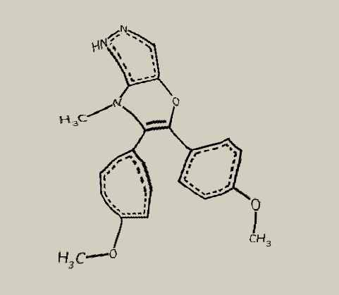 COc1ccc(C2=C(c3ccc(OC)cc3)N(C)c3[nH]ncc3O2)cc1